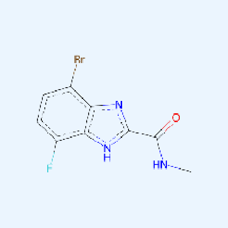 CNC(=O)c1nc2c(Br)ccc(F)c2[nH]1